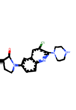 O=C1CCCN1c1ccc2nc(N3CCNCC3)c(Cl)cc2c1